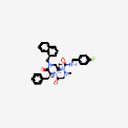 CN1CC(=O)N2[C@@H](Cc3ccccc3)C(=O)N(Cc3cccc4ccccc34)C[C@@H]2N1C(=O)NCc1ccc(F)cc1